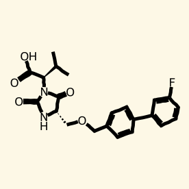 CC(C)[C@H](C(=O)O)N1C(=O)N[C@@H](COCc2ccc(-c3cccc(F)c3)cc2)C1=O